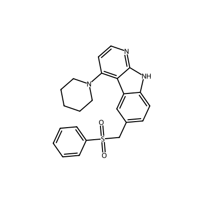 O=S(=O)(Cc1ccc2[nH]c3nccc(N4CCCCC4)c3c2c1)c1ccccc1